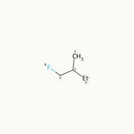 C[CH]C(C)CF